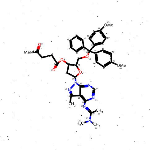 CNC(=O)CCC(=O)OC1CC(n2nc(C)c3c(/N=C(\C)N(C)C)ncnc32)OC1COC(c1ccccc1)(c1ccc(OC)cc1)c1ccc(OC)cc1